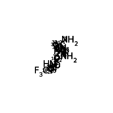 NCCCC1(n2nc(-c3ccc(C(=O)Nc4cc(C(F)(F)F)ccn4)cc3)c3c(N)ncnc32)CCCC1